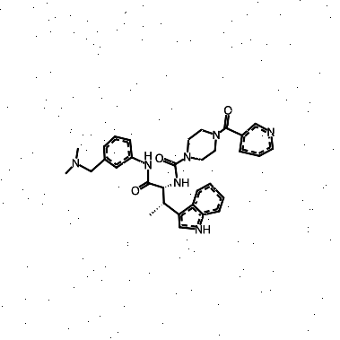 C[C@@H](c1c[nH]c2ccccc12)[C@@H](NC(=O)N1CCN(C(=O)c2cccnc2)CC1)C(=O)Nc1cccc(CN(C)C)c1